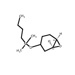 CCCC[Si](C)(C)OC1CC[C@H]2O[C@H]2C1